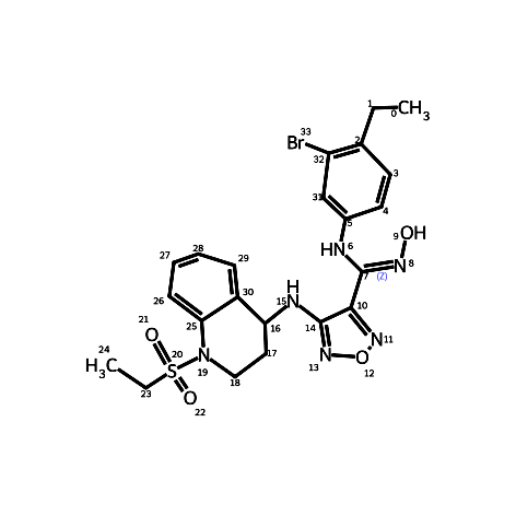 CCc1ccc(N/C(=N\O)c2nonc2NC2CCN(S(=O)(=O)CC)c3ccccc32)cc1Br